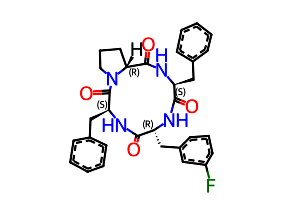 O=C1N[C@H](Cc2cccc(F)c2)C(=O)N[C@@H](Cc2ccccc2)C(=O)N2CCC[C@@H]2C(=O)N[C@H]1Cc1ccccc1